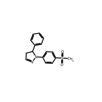 CS(=O)(=O)c1ccc(N2N=CCC2c2ccccc2)cc1